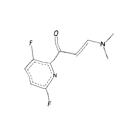 CN(C)/C=C/C(=O)c1nc(F)ccc1F